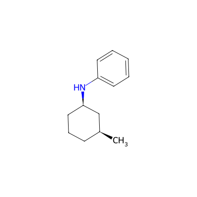 C[C@H]1CCC[C@@H](Nc2ccccc2)C1